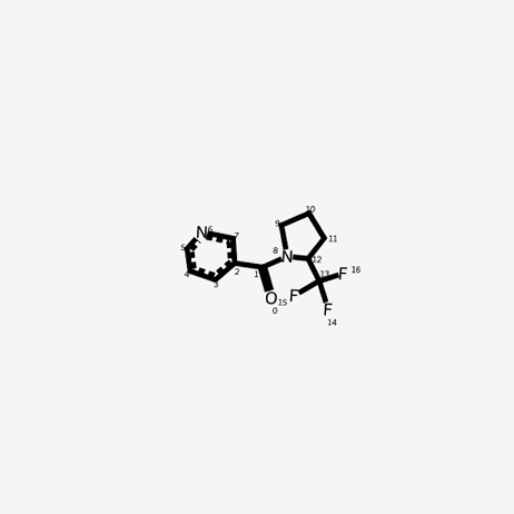 O=C(c1cccnc1)N1CCCC1C(F)(F)F